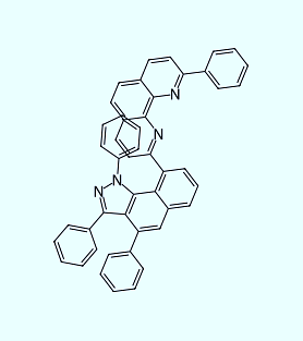 c1ccc(-c2ccc3ccc4ccc(-c5cccc6cc(-c7ccccc7)c7c(-c8ccccc8)nn(-c8ccccc8)c7c56)nc4c3n2)cc1